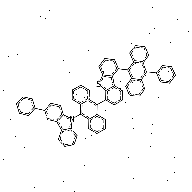 c1ccc(-c2ccc3c(c2)c2ccccc2n3-c2c3ccccc3c(-c3cccc4c3sc3cccc(-c5c6ccccc6c(-c6ccccc6)c6ccccc56)c34)c3ccccc23)cc1